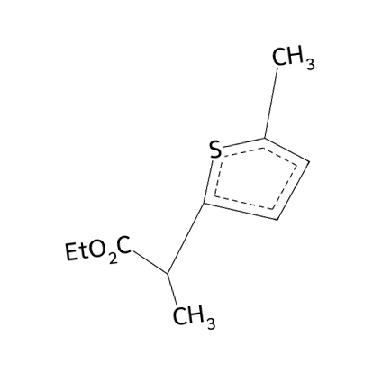 CCOC(=O)C(C)c1ccc(C)s1